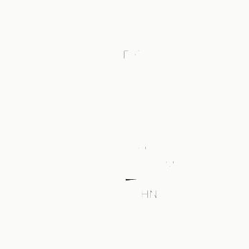 Fc1ccc([C@@H]2NCCO[C@H]2OCCc2cccc(C(F)(F)F)c2)cc1